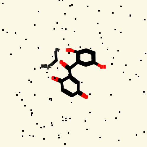 CC(C)CC(=O)O.O=C1C=CC(=O)C(C(=O)c2cc(O)ccc2O)=C1